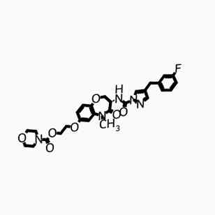 CN1C(=O)[C@@H](NC(=O)n2cc(Cc3cccc(F)c3)cn2)COc2ccc(OCCOC(=O)N3CCOCC3)cc21